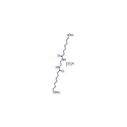 CC(=O)O.CCCCCCCCCCCCCCCCCC(=O)NCCNC(=O)CCCCCCCCCCCCCCCCC